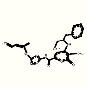 COC[C@@H](Cc1ccccc1)Nc1cc(C(=O)Nc2nnc(N/C(C)=C\C=N)s2)oc(=O)c1OC